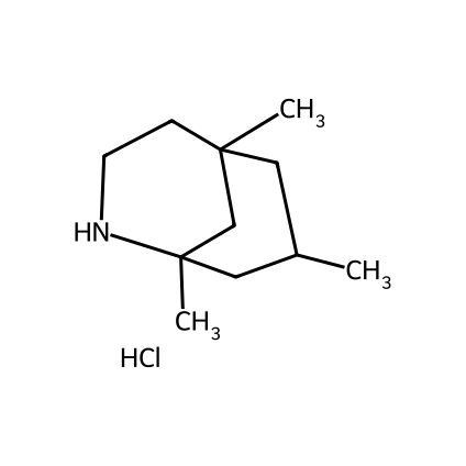 CC1CC2(C)CCNC(C)(C1)C2.Cl